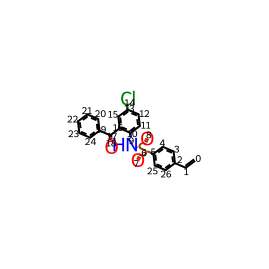 C=Cc1ccc(S(=O)(=O)Nc2ccc(Cl)cc2C(=O)c2ccccc2)cc1